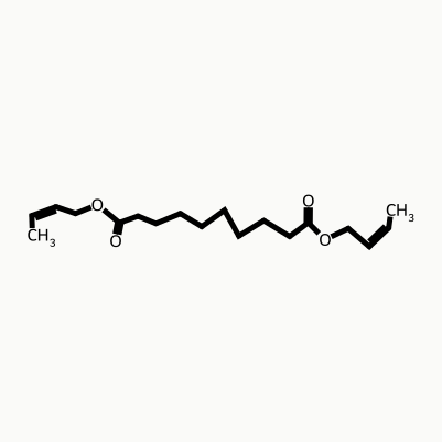 C/C=C\COC(=O)CCCCCCCCC(=O)OC/C=C\C